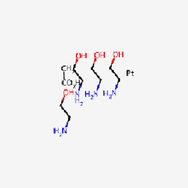 CC(=O)O.NCCO.NCCO.NCCO.NCCO.[Pt]